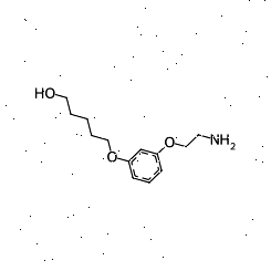 NCCOc1cccc(OCCCCCO)c1